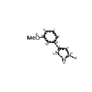 COc1cccc(-c2cn(C)nn2)c1